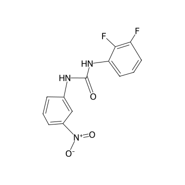 O=C(Nc1cccc([N+](=O)[O-])c1)Nc1cccc(F)c1F